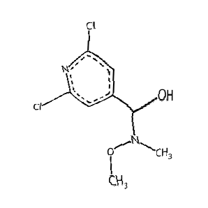 CON(C)C(O)c1cc(Cl)nc(Cl)c1